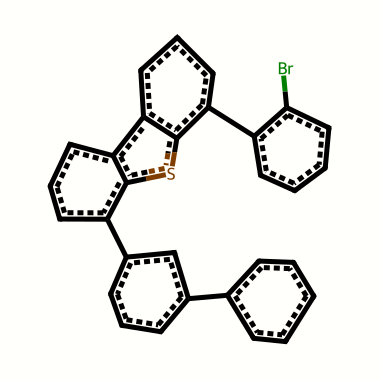 Brc1ccccc1-c1cccc2c1sc1c(-c3cccc(-c4ccccc4)c3)cccc12